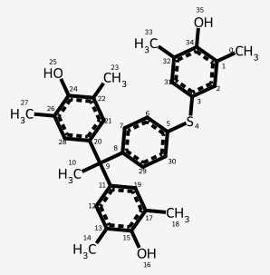 Cc1cc(Sc2ccc(C(C)(c3cc(C)c(O)c(C)c3)c3cc(C)c(O)c(C)c3)cc2)cc(C)c1O